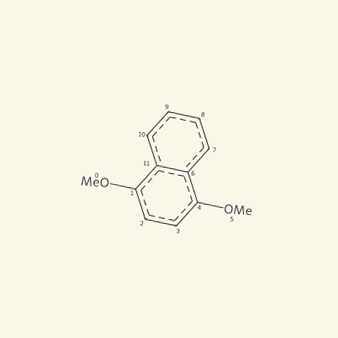 [CH2]Oc1ccc(OC)c2ccccc12